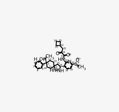 CN(C)C1(c2ccccc2)CCC2(CC1)C[C@@H](c1ccc([S+](C)[O-])nc1NC(=O)C(=O)CC1CCC1)NN2